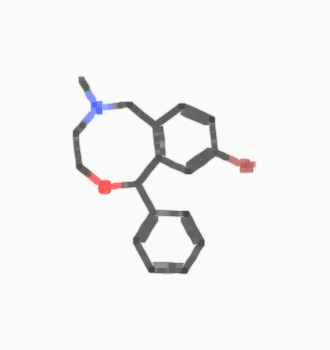 CN1CCOC(c2ccccc2)c2cc(Br)ccc2C1